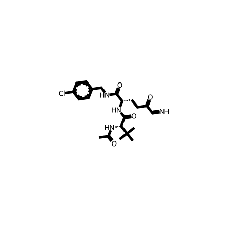 CC(=O)N[C@H](C(=O)N[C@@H](CCC(=O)C=N)C(=O)NCc1ccc(Cl)cc1)C(C)(C)C